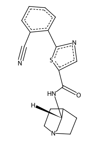 N#Cc1ccccc1-c1ncc(C(=O)N[C@H]2CN3CCC2CC3)s1